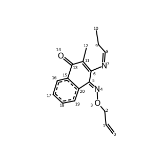 C=CCO/N=C1/C(/N=C\CC)=C(C)C(=O)c2ccccc21